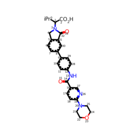 CC(C)C(C(=O)O)N1Cc2ccc(-c3ccc(NC(=O)c4ccc(N5CCOCC5)nc4)cc3)cc2C1=O